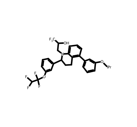 CC(C)Oc1cccc(-c2cccc3c2CCC(c2cccc(OC(F)(F)C(F)F)c2)N3CC(O)C(F)(F)F)c1